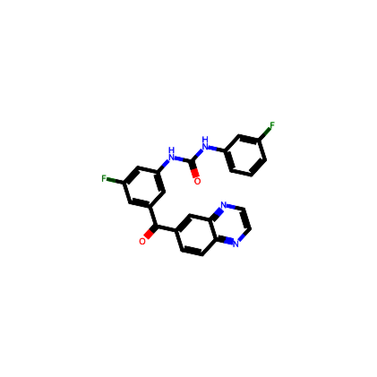 O=C(Nc1cccc(F)c1)Nc1cc(F)cc(C(=O)c2ccc3nccnc3c2)c1